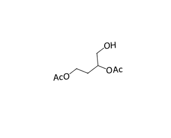 CC(=O)OCCC(CO)OC(C)=O